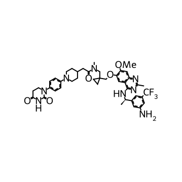 COc1cc2nc(C)nc(N[C@H](C)c3cc(N)cc(C(F)(F)F)c3)c2cc1OCC1(CN(C)C(=O)CC2CCN(c3ccc(N4CCC(=O)NC4=O)cc3)CC2)CC1